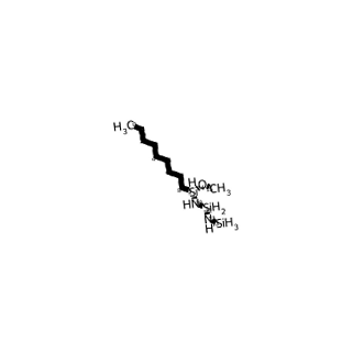 CCCCCCCCC[SiH](N[SiH2]N[SiH3])OC